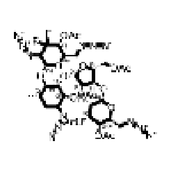 CC(=O)OC[C@H]1O[C@@H](O[C@H]2[C@H](O[C@H]3O[C@H](CN=[N+]=[N-])[C@@H](OC(C)=O)C(F)(F)C3N=[N+]=[N-])[C@@H](C)CC(N=[N+]=[N-])[C@@H]2OC(C)=O)[C@H](OC(C)=O)[C@@H]1O[C@@H]1C[C@@H](OC(C)=O)[C@H](OC(C)=O)[C@H](CN=[N+]=[N-])O1